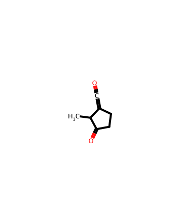 CC1C(=O)CCC1=C=O